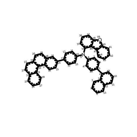 c1ccc2c(-c3ccc(N(c4ccc(-c5ccc6c(ccc7ccc8ccccc8c76)c5)cc4)c4cccc5oc6ccccc6c45)cc3)cccc2c1